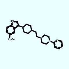 COc1ccc2[nH]cc(C3CCC(CCN4CCN(c5ccccn5)CC4)CC3)c2c1